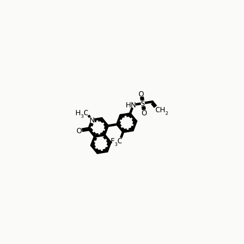 C=CS(=O)(=O)Nc1ccc(C(F)(F)F)c(-c2cn(C)c(=O)c3ccccc23)c1